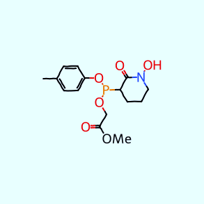 COC(=O)COP(Oc1ccc(C)cc1)C1CCCN(O)C1=O